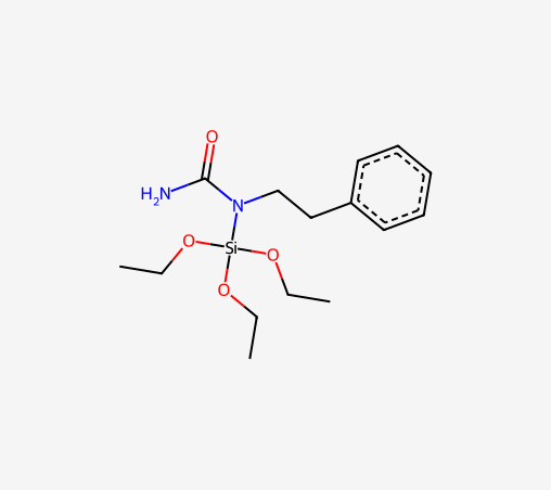 CCO[Si](OCC)(OCC)N(CCc1ccccc1)C(N)=O